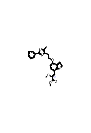 COC(=O)/C(=C/c1ccc(OCCc2nc(-c3ccccc3)oc2C)c2ccsc12)OC